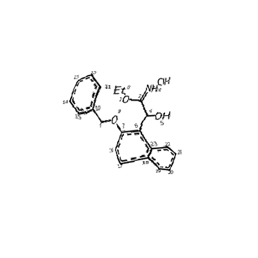 CCOC(=N)C(O)c1c(OCc2ccccc2)ccc2ccccc12.Cl